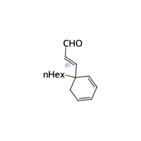 CCCCCCC1(/C=C/C=O)C=CC=CC1